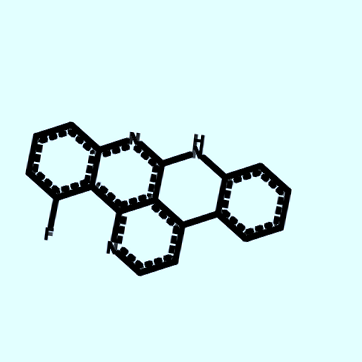 Fc1cccc2nc3c4c(ccnc4c12)-c1ccccc1N3